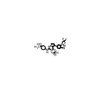 [2H]C([2H])([2H])Oc1nc(NC2CCC(C)(O)CC2)nn2ccc(-c3ccc4nnn(CC(F)(F)F)c4c3)c12